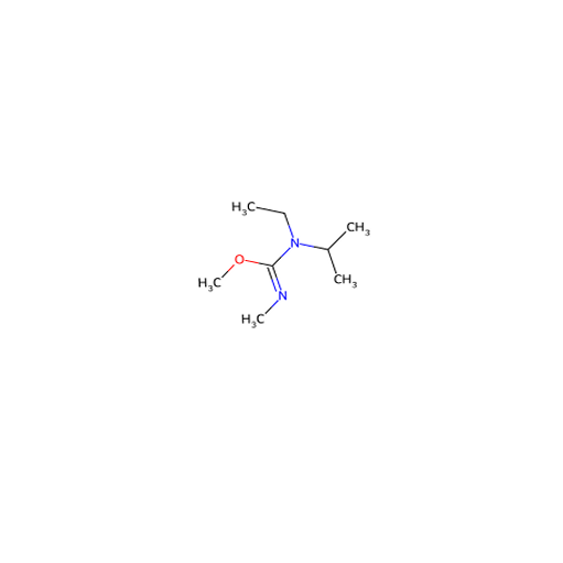 CCN(C(=NC)OC)C(C)C